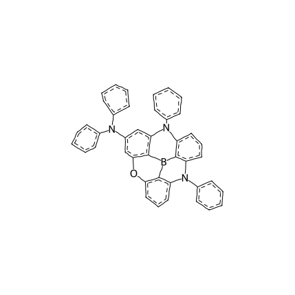 c1ccc(N(c2ccccc2)c2cc3c4c(c2)N(c2ccccc2)c2cccc5c2B4c2c(cccc2N5c2ccccc2)O3)cc1